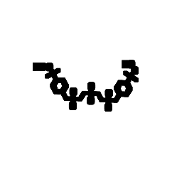 CC(C)(OO)c1ccc(CS(=O)(=O)CCS(=O)(=O)CCS(=O)(=O)Cc2ccc(C(C)(C)OO)cc2)cc1